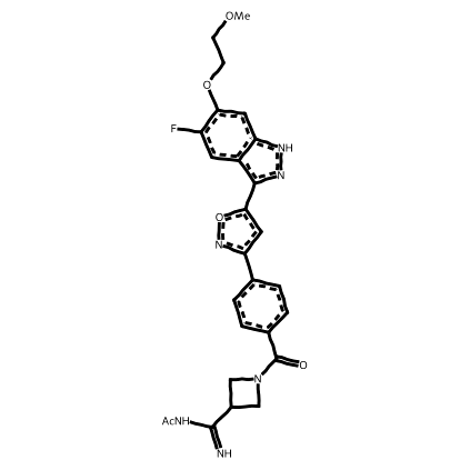 COCCOc1cc2[nH]nc(-c3cc(-c4ccc(C(=O)N5CC(C(=N)NC(C)=O)C5)cc4)no3)c2cc1F